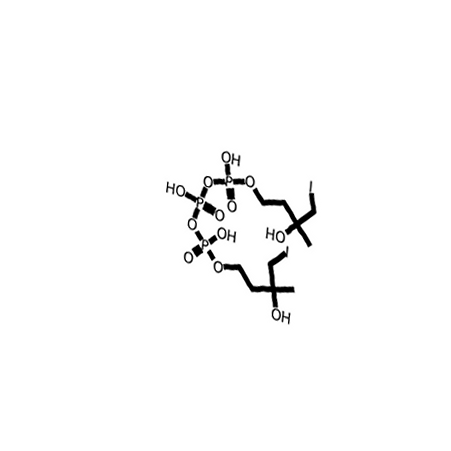 CC(O)(CI)CCOP(=O)(O)OP(=O)(O)OP(=O)(O)OCCC(C)(O)CI